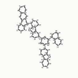 c1ccc2cc3c(cc2c1)c1ccccc1n3-c1cccc2c1oc1ccc(-c3nc(-c4ccc5c(c4)oc4ccccc45)nc(-c4cccc5ccccc45)n3)cc12